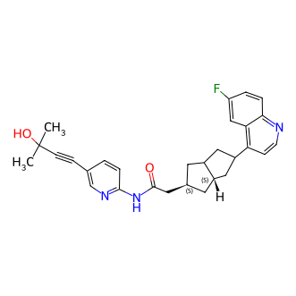 CC(C)(O)C#Cc1ccc(NC(=O)C[C@H]2CC3CC(c4ccnc5ccc(F)cc45)C[C@@H]3C2)nc1